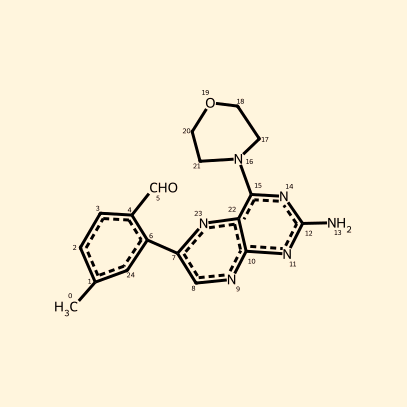 Cc1ccc(C=O)c(-c2cnc3nc(N)nc(N4CCOCC4)c3n2)c1